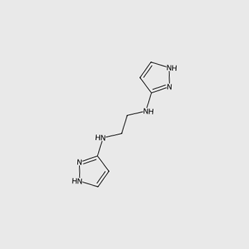 c1cc(NCCNc2cc[nH]n2)n[nH]1